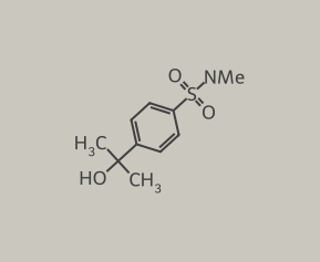 CNS(=O)(=O)c1ccc(C(C)(C)O)cc1